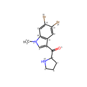 Cn1cc(C(=O)C2CCCN2)c2cc(Br)c(Br)cc21